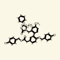 Cc1ccc(-c2cc(CC(=O)OCc3ccc(Cl)cc3)ccc2OCc2ccc(Cl)cc2)c(CN2C(=O)O[C@H](c3ccccc3)[C@@H]2C)c1